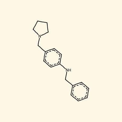 c1ccc(CNc2ccc(CN3CCCC3)cc2)cc1